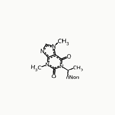 CCCCCCCCCC(C)n1c(=O)c2c(ncn2C)n(C)c1=O